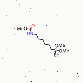 CC[Si](CCCCCCNC(=O)OC)(OC)OC